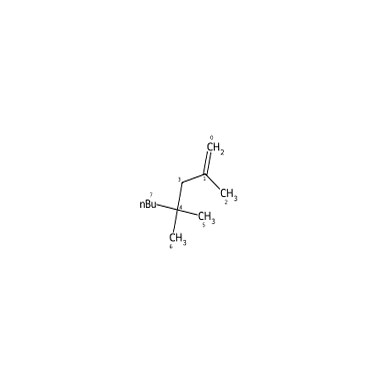 C=C(C)CC(C)(C)CCCC